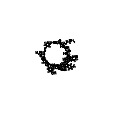 CC1(C)NC(=O)[C@H](CC(=O)O)NC(=O)[C@H](Cc2c[nH]c3ccc(F)cc23)NC(=O)[C@H](Cc2c[nH]c3ccc(F)cc23)NC(=O)CNC[C@H](CCCCN)NC(=O)CCSCc2cccc(c2)CSC[C@@H](C(N)=O)CC(=O)[C@@H]2CCCN2C(=O)[C@H](Cc2ccc(O)cc2)NC1=O